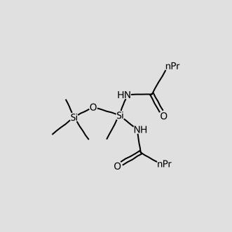 CCCC(=O)N[Si](C)(NC(=O)CCC)O[Si](C)(C)C